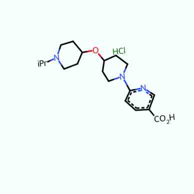 CC(C)N1CCC(OC2CCN(c3ccc(C(=O)O)cn3)CC2)CC1.Cl